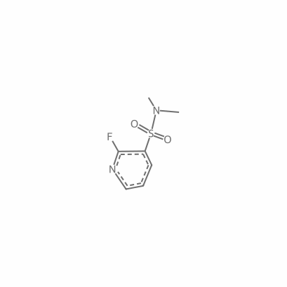 CN(C)S(=O)(=O)c1cccnc1F